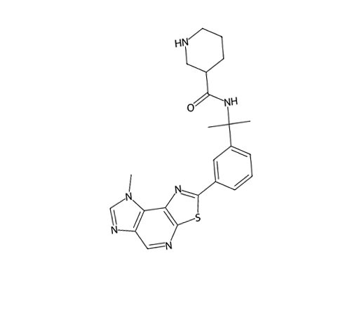 Cn1cnc2cnc3sc(-c4cccc(C(C)(C)NC(=O)C5CCCNC5)c4)nc3c21